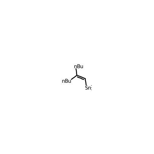 CCCCC(=[CH][Sn])CCCC